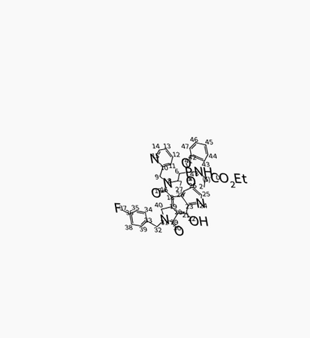 CCOC(=O)[C@H](C)NP(=O)(CCN(Cc1ccccn1)C(=O)c1c2c(c(O)c3ncccc13)C(=O)N(Cc1ccc(F)cc1)C2)Oc1ccccc1